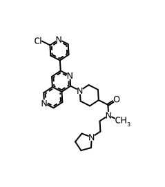 CN(CCN1CCCC1)C(=O)C1CCN(c2nc(-c3ccnc(Cl)c3)cc3cnccc23)CC1